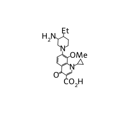 CCC1CCN(c2ccc3c(=O)c(C(=O)O)cn(C4CC4)c3c2OC)CC1N